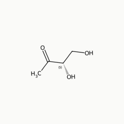 CC(=O)[C@@H](O)CO